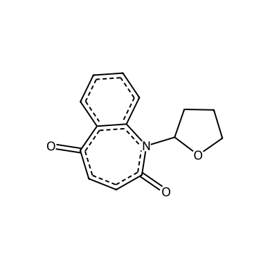 O=c1ccc(=O)n(C2CCCO2)c2ccccc12